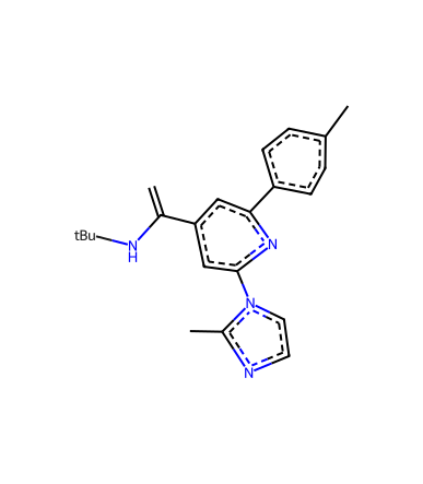 C=C(NC(C)(C)C)c1cc(-c2ccc(C)cc2)nc(-n2ccnc2C)c1